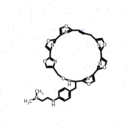 CN(C)CCNc1ccc(CC2NOCc3coc(n3)-c3coc(n3)-c3coc(n3)/C=C/Cc3coc(n3)-c3coc(n3)-c3coc2n3)cc1